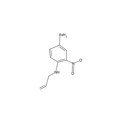 C=CCNc1ccc([AsH2])cc1[N+](=O)[O-]